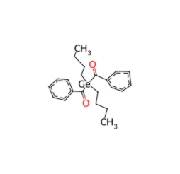 CCC[CH2][Ge]([CH2]CCC)([C](=O)c1ccccc1)[C](=O)c1ccccc1